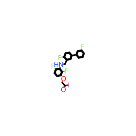 O=C(I)COc1ccc(F)c(NCc2cc(-c3cccc(F)c3)ccc2F)c1F